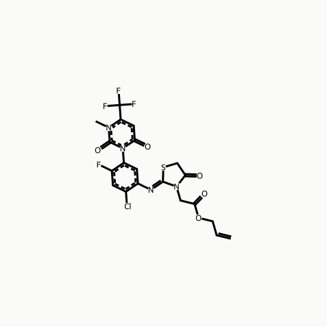 C=CCOC(=O)CN1C(=O)CS/C1=N\c1cc(-n2c(=O)cc(C(F)(F)F)n(C)c2=O)c(F)cc1Cl